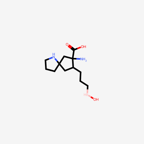 NC1(C(=O)O)CC2(CCCN2)CC1CCCBO